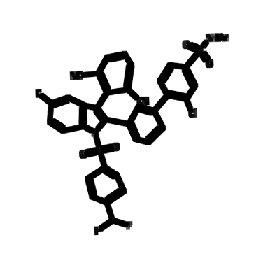 CC(=O)NS(=O)(=O)c1ccc(-c2cccc(-c3c(-c4c(C#N)cccc4C#N)c4cc(F)ccc4n3S(=O)(=O)c3ccc(C(F)F)cc3)c2)c(Cl)c1